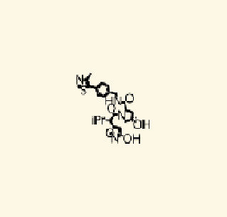 Cc1ncsc1-c1ccc(CNC(=O)C2C[C@@H](O)CN2C(=O)C(c2cc(O)no2)C(C)C)cc1